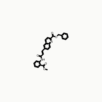 COC(=O)c1ccccc1NC(=O)/C=C/c1ccc2nc(C(=O)OCc3ccccc3)ccc2c1